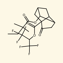 CCC(C)(C)C(=O)OC1C2CC3C1CC(=O)C3(C(=O)OC(C(F)(F)F)C(F)(F)F)C2